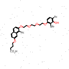 CCCc1c(OCCOCCOCCOc2ccc3ccc(OCCCC(=O)O)cc3c2C(C)=O)ccc(C(C)=O)c1O